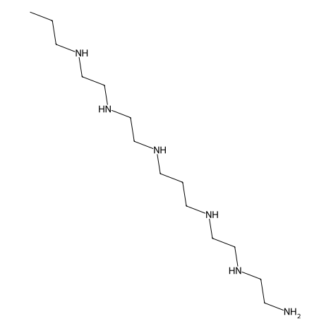 CCCNCCNCCNCCCNCCNCCN